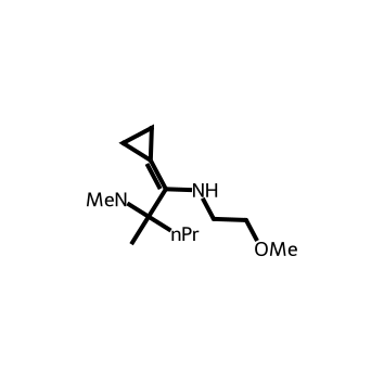 CCCC(C)(NC)C(NCCOC)=C1CC1